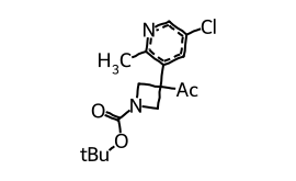 CC(=O)C1(c2cc(Cl)cnc2C)CN(C(=O)OC(C)(C)C)C1